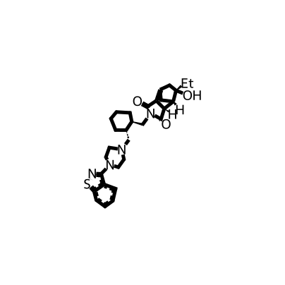 CC[C@]1(O)CC2=C3C(=O)N(C[C@@H]4CCCC[C@H]4CN4CCN(c5nsc6ccccc56)CC4)C(=O)[C@@H]3[C@@H]1C2